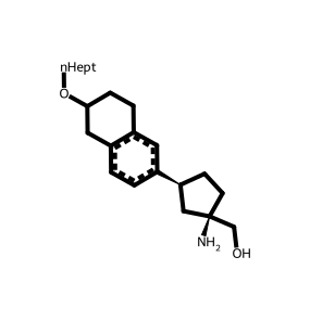 CCCCCCCOC1CCc2cc([C@H]3CC[C@](N)(CO)C3)ccc2C1